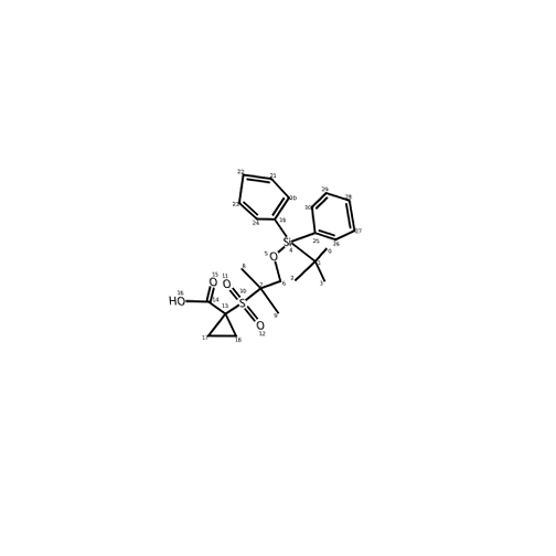 CC(C)(C)[Si](OCC(C)(C)S(=O)(=O)C1(C(=O)O)CC1)(c1ccccc1)c1ccccc1